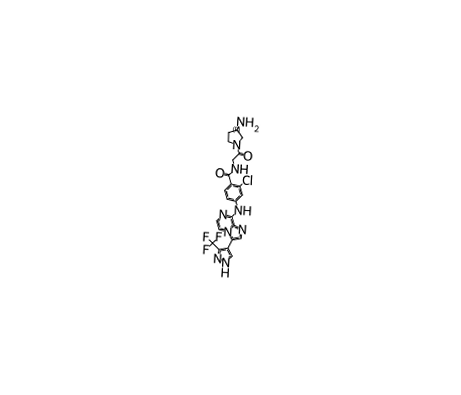 N[C@@H]1CCN(C(=O)CNC(=O)c2ccc(Nc3nccn4c(-c5c[nH]nc5C(F)(F)F)cnc34)cc2Cl)C1